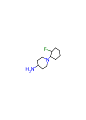 NC1CCN(C2CCCCC2F)CC1